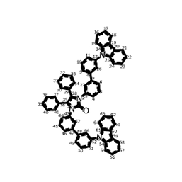 O=c1n(-c2cccc(-c3cccc(-n4c5ccccc5c5ccccc54)c3)c2)c(-c2ccccc2)c(-c2ccccc2)n1-c1cccc(-c2cccc(-n3c4ccccc4c4ccccc43)c2)c1